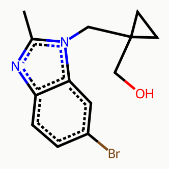 Cc1nc2ccc(Br)cc2n1CC1(CO)CC1